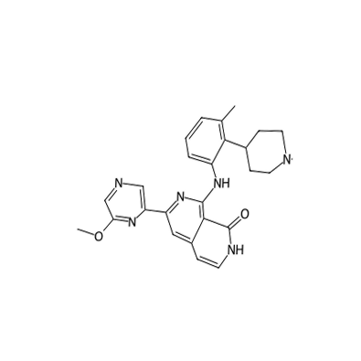 COc1cncc(-c2cc3cc[nH]c(=O)c3c(Nc3cccc(C)c3C3CC[N]CC3)n2)n1